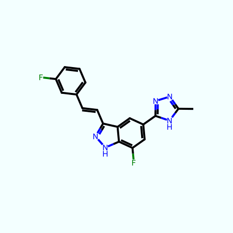 Cc1nnc(-c2cc(F)c3[nH]nc(C=Cc4cccc(F)c4)c3c2)[nH]1